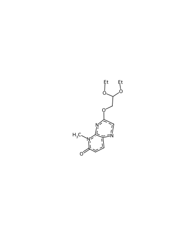 CCOC(COc1cnc2ccc(=O)n(C)c2n1)OCC